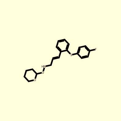 Fc1ccc(Sc2ccccc2C=CCNOC2CCCCO2)cc1